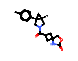 Cc1ccc([C@@]23C[C@@H]2CN(C(=O)C2CC4(COC(=O)N4)C2)C3)cc1